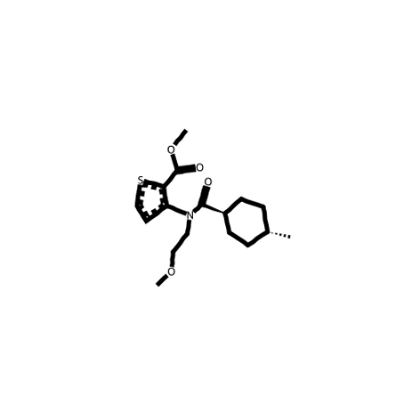 COCCN(c1ccsc1C(=O)OC)C(=O)[C@H]1CC[C@H](C)CC1